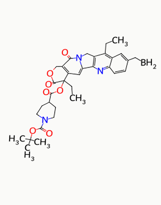 BCc1ccc2nc3c(c(CC)c2c1)Cn1c-3cc2c(c1=O)COC(=O)C2(CC)OC(=O)C1CCN(C(=O)OC(C)(C)C)CC1